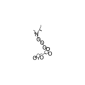 C=C(CCC)CCN(CCC)CCOCCOCCOc1cccc2c1CC(CCC1CCC(=O)C(=C)C1=O)=CC2=O